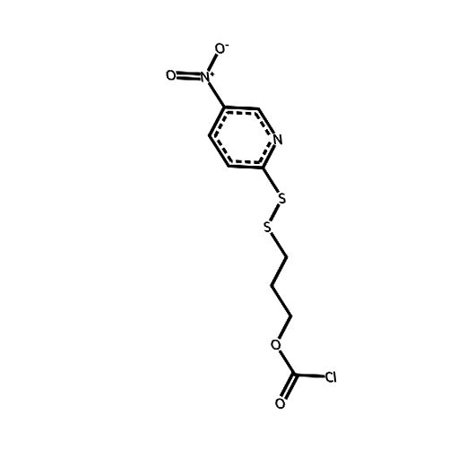 O=C(Cl)OCCCSSc1ccc([N+](=O)[O-])cn1